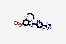 CCOc1cc2c3c(c1)nc(-c1ccc(-c4ncn[nH]4)cn1)n3CCCCO2